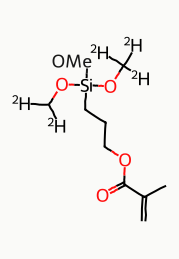 [2H]C([2H])O[Si](CCCOC(=O)C(=C)C)(OC)OC([2H])([2H])[2H]